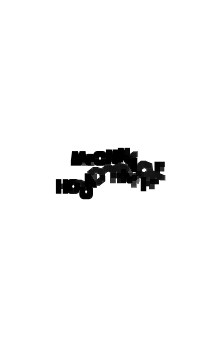 COc1nc2nc(C)nc(N[C@H](C)c3cccc(C(C)(F)F)c3F)c2cc1C1CCN(C(=O)CO)CC1